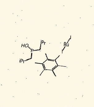 CC(C)CP(O)CC(C)C.Cc1c(C)c(C)c(C)c(C)c1C.[I][Ru][I]